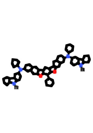 CCn1c2ccccc2c2cc(N(c3ccccc3)c3ccc4cc5c(cc4c3)oc3c(-c4ccccc4)c4oc6cc7cc(N(c8ccccc8)c8ccc9c(c8)c8ccccc8n9CC)ccc7cc6c4cc35)ccc21